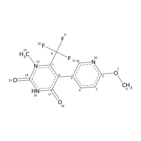 COc1ccc(-c2c(C(F)(F)F)n(C)c(=O)[nH]c2=O)cn1